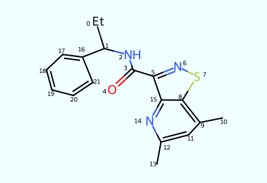 CCC(NC(=O)c1nsc2c(C)cc(C)nc12)c1ccccc1